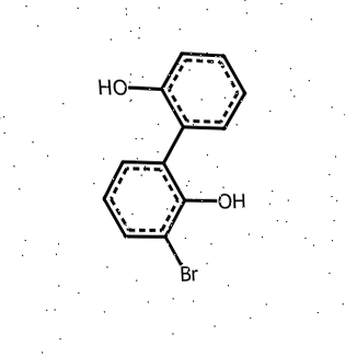 Oc1ccccc1-c1cccc(Br)c1O